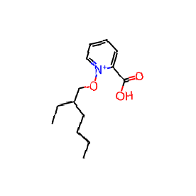 CCCCC(CC)CO[n+]1ccccc1C(=O)O